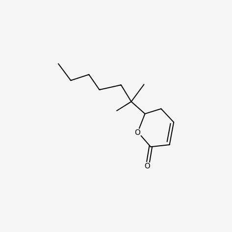 CCCCCC(C)(C)C1CC=CC(=O)O1